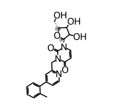 Cc1ccccc1-c1ccnc(Cn2c(=O)ccn([C@@H]3O[C@H](CO)C(O)C3O)c2=O)c1